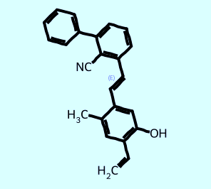 C=Cc1cc(C)c(/C=C/c2cccc(-c3ccccc3)c2C#N)cc1O